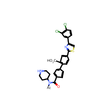 CC(=O)N(C(=O)c1ccc(-c2ccc(-c3nc(-c4ccc(Cl)c(Cl)c4)cs3)cc2C(=O)O)cc1)C1CCNCC1